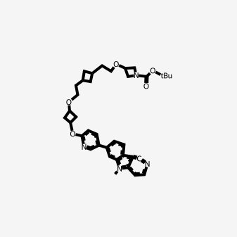 Cn1c2ccncc2c2ccc(-c3ccc(OC4CC(OCCC5CC(CCOC6CN(C(=O)OC(C)(C)C)C6)C5)C4)nc3)cc21